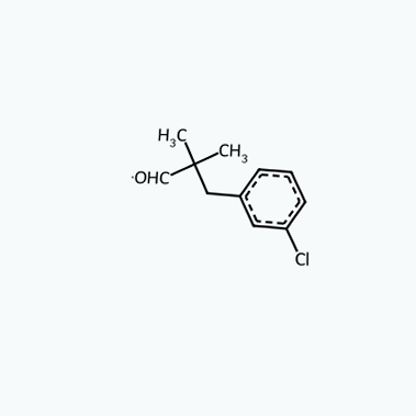 CC(C)([C]=O)Cc1cccc(Cl)c1